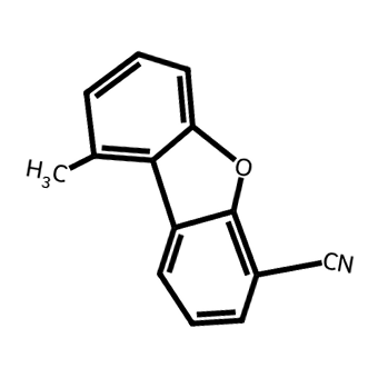 Cc1cccc2oc3c(C#N)cccc3c12